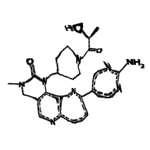 C[C@H](O)C(=O)N1CCC(N2C(=O)N(C)Cc3cnc4ccc(-c5cnc(N)nc5)nc4c32)CC1